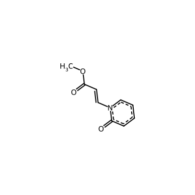 COC(=O)C=Cn1ccccc1=O